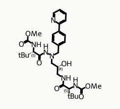 COC(=O)N[C@H](C(=O)NC[C@@H](O)CN(Cc1ccc(-c2ccccn2)cc1)NC(=O)[C@@H](NC(=O)OC)C(C)(C)C)C(C)(C)C